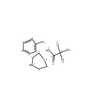 C1CCNCC1.Cc1ccccc1.O=C(O)C(Cl)(Cl)Cl